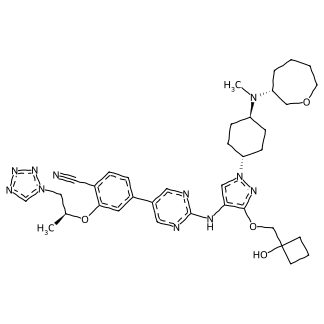 C[C@@H](Cn1cnnn1)Oc1cc(-c2cnc(Nc3cn([C@H]4CC[C@H](N(C)[C@@H]5CCCCOC5)CC4)nc3OCC3(O)CCC3)nc2)ccc1C#N